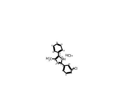 Cc1nc(-c2cccc(Cl)c2)[nH]c1-c1ccccc1.Cl